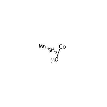 S.[Mn].[OH][Co]